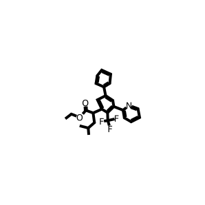 CCOC(=O)C(CC(C)C)c1cc(-c2ccccc2)cc(-c2ccccn2)c1C(F)(F)F